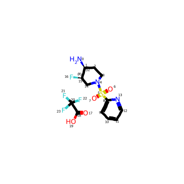 N[C@H]1CCN(S(=O)(=O)c2ccccn2)C[C@H]1F.O=C(O)C(F)(F)F